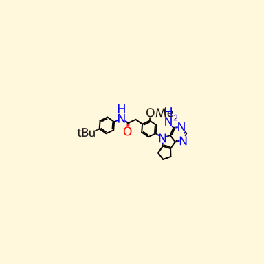 COc1cc(-n2c3c(c4ncnc(N)c42)CCC3)ccc1CC(=O)Nc1ccc(C(C)(C)C)cc1